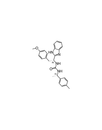 COc1ccc(C[C@@H](NC(=O)N[C@@H](C)c2ccc(C)cc2)c2nc3ccccc3[nH]2)cc1